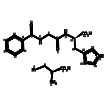 CC(C)C[C@H](N)C(=O)O.O=C(CNC(=O)c1ccccc1)N[C@@H](Cc1c[nH]cn1)C(=O)O